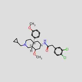 COc1cccc([C@@]23CCN(CC4CC4)C[C@H]2C(OC)C[C@@H](NC(=O)Cc2ccc(Cl)c(Cl)c2)C3)c1